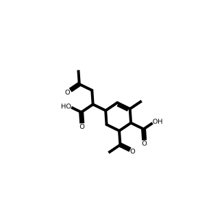 CC(=O)CC(C(=O)O)C1C=C(C)C(C(=O)O)C(C(C)=O)C1